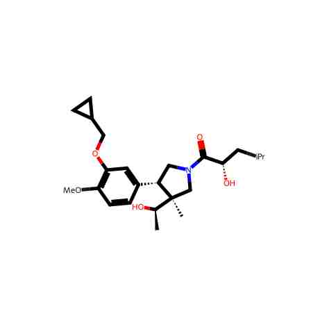 COc1ccc([C@@H]2CN(C(=O)[C@@H](O)CC(C)C)C[C@@]2(C)[C@@H](C)O)cc1OCC1CC1